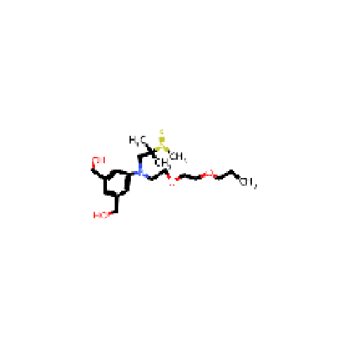 CCCOCCOCCN(CC(C)(C)S(C)=S)c1cc(CO)cc(CO)c1